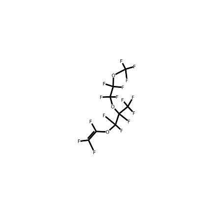 FC(F)=C(F)OC(F)(F)C(F)(OC(F)(F)C(F)(F)OC(F)(F)F)C(F)(F)F